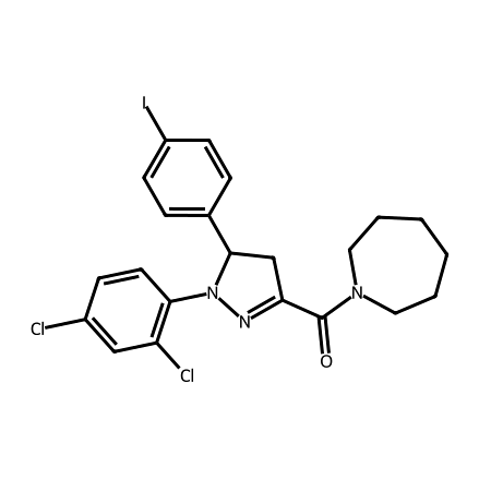 O=C(C1=NN(c2ccc(Cl)cc2Cl)C(c2ccc(I)cc2)C1)N1CCCCCC1